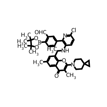 Cc1cc(C(C)Nc2ccc(Cl)nc2-c2ccc(B3OC(C)(C)C(C)(C)O3)c(C=O)c2)c2oc(N3CCC4(CC3)CC4)c(C)c(=O)c2c1